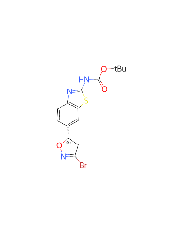 CC(C)(C)OC(=O)Nc1nc2ccc([C@@H]3CC(Br)=NO3)cc2s1